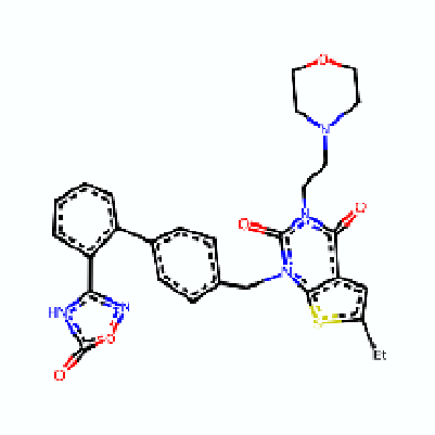 CCc1cc2c(=O)n(CCN3CCOCC3)c(=O)n(Cc3ccc(-c4ccccc4-c4noc(=O)[nH]4)cc3)c2s1